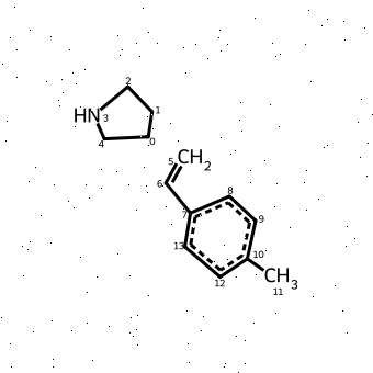 C1CCNC1.C=Cc1ccc(C)cc1